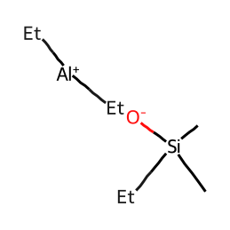 CC[Si](C)(C)[O-].C[CH2][Al+][CH2]C